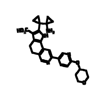 NC1(C2(c3[nH]c4c(c3C(=O)O)CCc3cnc(-c5ccc(OC6CCOCC6)nc5)cc3-4)CC2)CC1